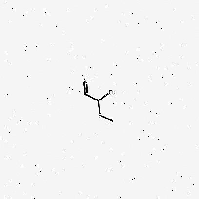 CS[CH]([Cu])C=S